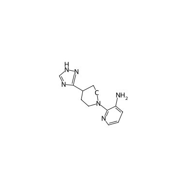 Nc1cccnc1N1CCC(c2nc[nH]n2)CC1